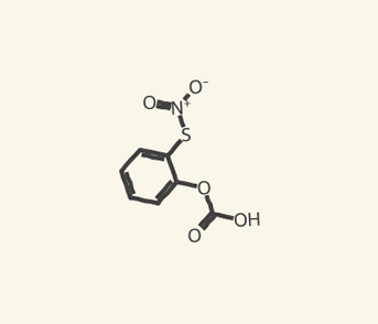 O=C(O)Oc1ccccc1S[N+](=O)[O-]